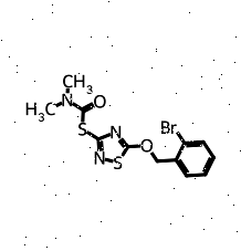 CN(C)C(=O)Sc1nsc(OCc2ccccc2Br)n1